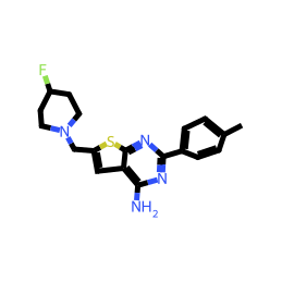 Cc1ccc(-c2nc(N)c3cc(CN4CCC(F)CC4)sc3n2)cc1